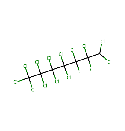 ClC(Cl)C(Cl)(Cl)C(Cl)(Cl)C(Cl)(Cl)C(Cl)(Cl)C(Cl)(Cl)C(Cl)(Cl)Cl